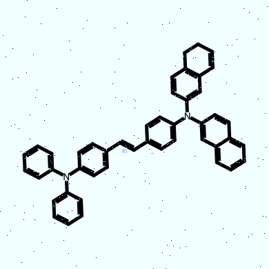 C1=Cc2cc(N(c3ccc(/C=C/c4ccc(N(c5ccccc5)c5ccccc5)cc4)cc3)c3ccc4ccccc4c3)ccc2CC1